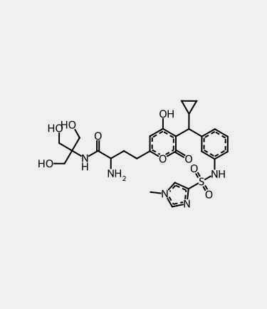 Cn1cnc(S(=O)(=O)Nc2cccc(C(c3c(O)cc(CCC(N)C(=O)NC(CO)(CO)CO)oc3=O)C3CC3)c2)c1